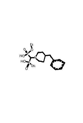 CCOP(=O)(O)C(N1CCC(Cc2ccccc2)CC1)P(=O)(O)O